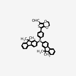 CC1(C)c2ccccc2-c2ccc(N(c3ccc(-c4sc(C=O)c5c4OCCO5)cc3)c3ccc4c(c3)C(C)(C)c3ccccc3-4)cc21